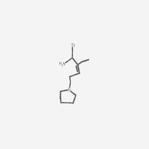 CCC(N)/C(C)=C\CN1CCCC1